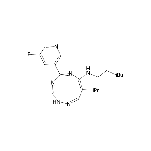 CCC(C)CCNc1nc(-c2cncc(F)c2)nc[nH]ncc1C(C)C